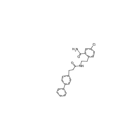 NC(=O)c1cc(Cl)ccc1CCNC(=O)[CH]Cc1ccc(-c2ccccc2)cc1